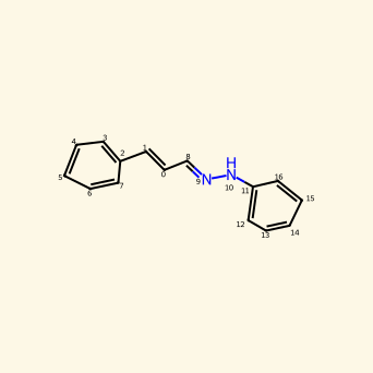 C(=Cc1ccccc1)C=NNc1ccccc1